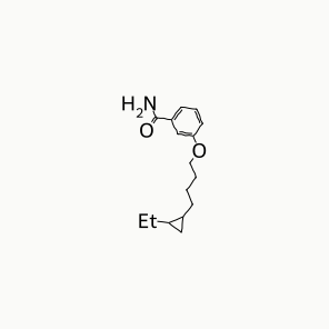 CCC1CC1CCCCOc1cccc(C(N)=O)c1